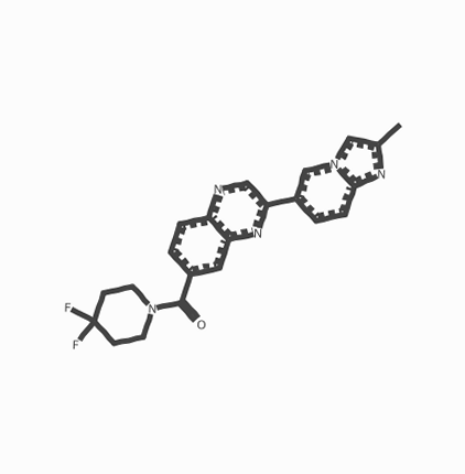 Cc1cn2cc(-c3cnc4ccc(C(=O)N5CCC(F)(F)CC5)cc4n3)ccc2n1